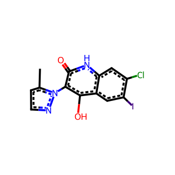 Cc1ccnn1-c1c(O)c2cc(I)c(Cl)cc2[nH]c1=O